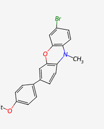 CCOc1ccc(-c2ccc3c(c2)Oc2cc(Br)ccc2N3C)cc1